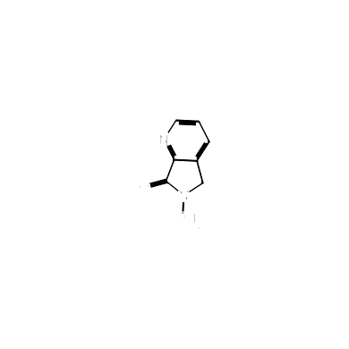 BN1Cc2cccnc2C1=O